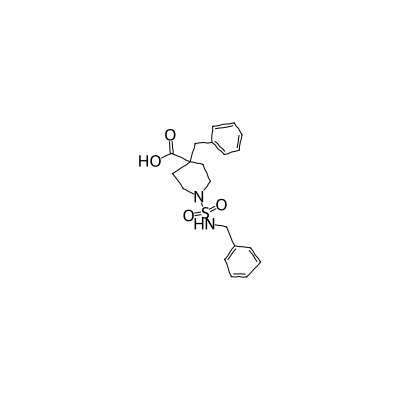 O=C(O)C1(Cc2ccccc2)CCN(S(=O)(=O)NCc2ccccc2)CC1